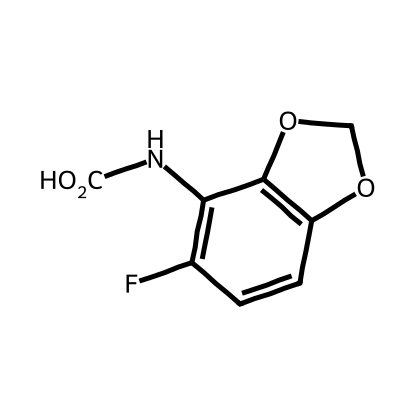 O=C(O)Nc1c(F)ccc2c1OCO2